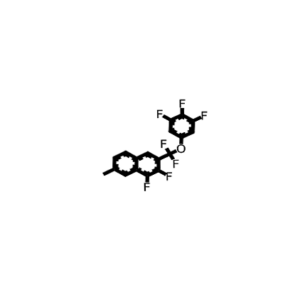 Cc1ccc2cc(C(F)(F)Oc3cc(F)c(F)c(F)c3)c(F)c(F)c2c1